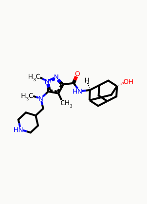 Cc1c(C(=O)N[C@H]2C3CC4CC2C[C@](O)(C4)C3)nn(C)c1N(C)CC1CCNCC1